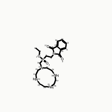 CCOP(=O)(CCN1C(=O)c2ccccc2C1=O)CN1CCNCCNCCNCC1